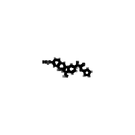 COc1cc(C(=O)O)ccc1Cc1cn(C(C)C)c2ccc(NC(=O)OC3CCCC3)cc12